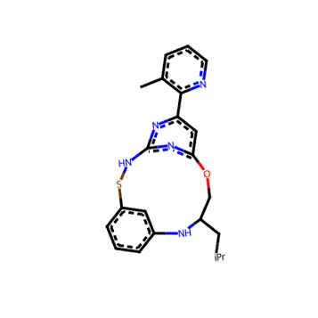 Cc1cccnc1-c1cc2nc(n1)NSc1cccc(c1)NC(CC(C)C)CO2